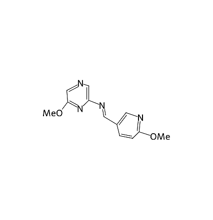 COc1ccc(/C=N/c2cncc(OC)n2)cn1